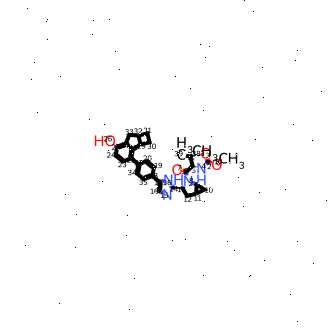 COC(=O)N[C@H](C(=O)N1C2CC2C[C@H]1c1ncc(-c2ccc(-c3ccc(O)c4c3C3CCC3C4)cc2)[nH]1)C(C)C